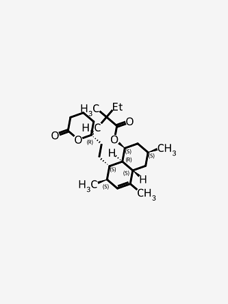 CCC(C)(C)C(=O)O[C@H]1C[C@@H](C)C[C@@H]2C(C)=C[C@@H](C)[C@H](CC[C@H]3CCCC(=O)O3)[C@@H]12